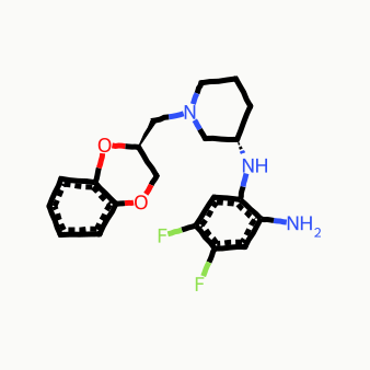 Nc1cc(F)c(F)cc1N[C@H]1CCCN(C[C@H]2COc3ccccc3O2)C1